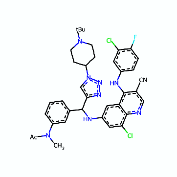 CC(=O)N(C)c1cccc(C(Nc2cc(Cl)c3ncc(C#N)c(Nc4ccc(F)c(Cl)c4)c3c2)c2cn(C3CCN(C(C)(C)C)CC3)nn2)c1